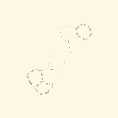 c1ccc2c(c1)OCCC2CN1CCN(c2nccc3cc[nH]c23)CC1